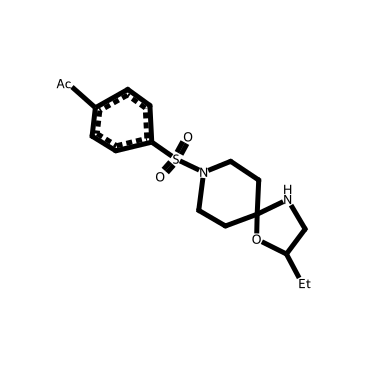 CCC1CNC2(CCN(S(=O)(=O)c3ccc(C(C)=O)cc3)CC2)O1